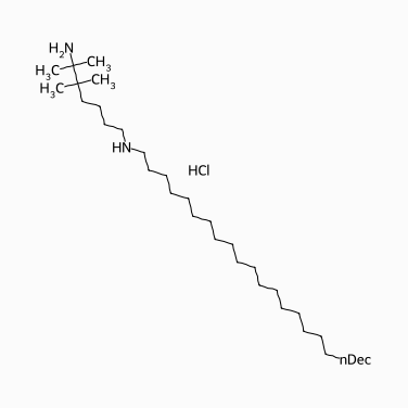 CCCCCCCCCCCCCCCCCCCCCCCCCCCCNCCCCC(C)(C)C(C)(C)N.Cl